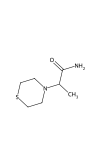 CC(C(N)=O)N1CCSCC1